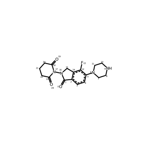 O=C1c2ccc(N3CCNCC3)c(F)c2CN1N1C(=O)CCCC1=O